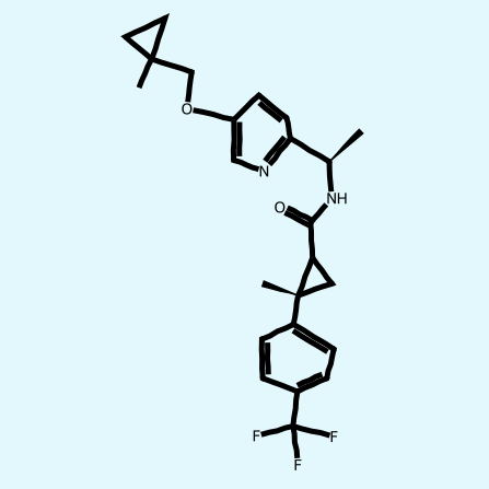 C[C@@H](NC(=O)C1C[C@]1(C)c1ccc(C(F)(F)F)cc1)c1ccc(OCC2(C)CC2)cn1